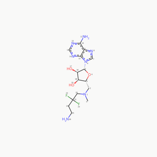 CN(C[C@H]1O[C@@H](n2cnc3c(N)ncnc32)[C@H](O)[C@@H]1O)CC(F)(F)CCN